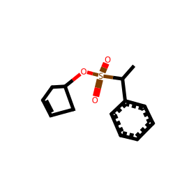 CC(c1ccccc1)S(=O)(=O)OC1CC=CC1